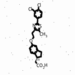 Cc1sc(-c2ccc(Cl)c(Cl)c2)nc1CCOc1ccc2c(c1)CC[C@H]2CC(=O)O